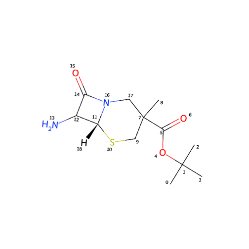 CC(C)(C)OC(=O)C1(C)CS[C@@H]2C(N)C(=O)N2C1